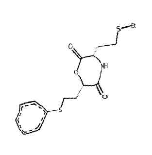 CCSCC[C@@H]1NC(=O)[C@H](CCSc2ccccc2)OC1=O